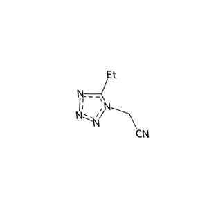 CCc1nnnn1CC#N